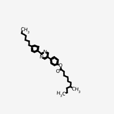 CCCCCCc1ccc(-c2ncc(-c3ccc(OC(=O)CCCCCC(C)CCC)cc3)cn2)cc1